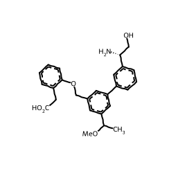 COC(C)c1cc(COc2ccccc2CC(=O)O)cc(-c2cccc([C@H](N)CO)c2)c1